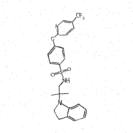 CC(C)(CNS(=O)(=O)c1ccc(Oc2ccc(C(F)(F)F)cn2)cc1)N1CCc2ccccc21